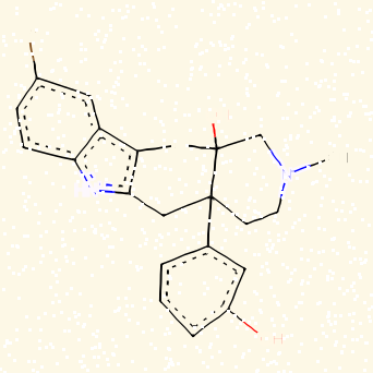 CN1CCC2(c3cccc(O)c3)Cc3[nH]c4ccc(Br)cc4c3CC2(O)C1